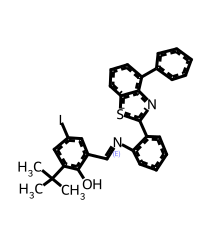 CC(C)(C)c1cc(I)cc(/C=N/c2ccccc2-c2nc3c(-c4ccccc4)cccc3s2)c1O